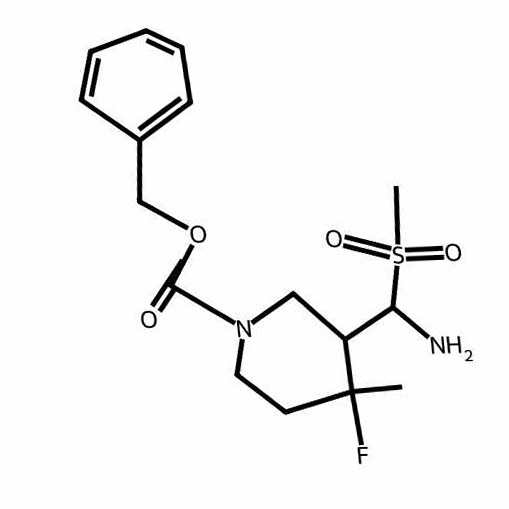 CC1(F)CCN(C(=O)OCc2ccccc2)CC1C(N)S(C)(=O)=O